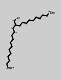 CCCCCCCCCCCCCCCCCCCCCC(CO)CCCCCCCCCCCCCCCCCCC